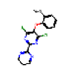 COc1ccccc1Oc1c(Cl)nc(C2=NCCC=N2)nc1Cl